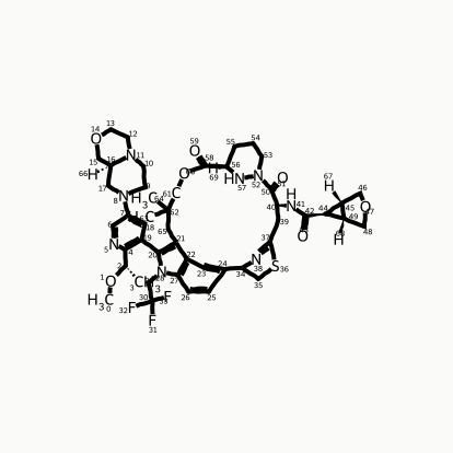 CO[C@@H](C)c1ncc(N2CCN3CCOC[C@@H]3C2)cc1-c1c2c3cc(ccc3n1CC(F)(F)F)C1CSC(=N1)C[C@H](NC(=O)[C@H]1[C@@H]3COC[C@@H]31)C(=O)N1CCC[C@H](N1)C(=O)OCC(C)(C)C2